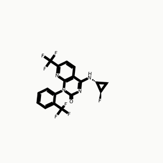 O=c1nc(N[C@@H]2C[C@H]2F)c2ccc(C(F)(F)F)nc2n1-c1ccccc1C(F)(F)F